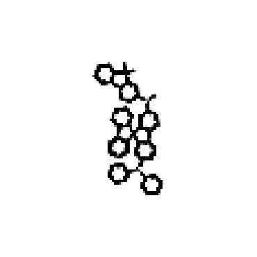 CN(c1ccc2c(c1)C(C)(C)c1ccccc1-2)c1ccc2c(c1)C1(c3ccccc3-c3ccccc31)c1cc(N(c3ccccc3)c3ccccc3)ccc1-2